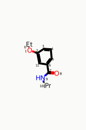 CCOc1cccc(C(=O)NC(C)C)c1